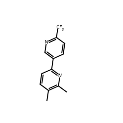 Cc1ccc(-c2ccc(C(F)(F)F)nc2)nc1C